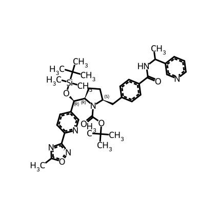 Cc1nc(-c2ccc([C@@H](O[Si](C)(C)C(C)(C)C)[C@H]3CC[C@@H](Cc4ccc(C(=O)NC(C)c5cccnc5)cc4)N3C(=O)OC(C)(C)C)cn2)no1